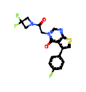 O=C(Cn1cnc2scc(-c3ccc(F)cc3)c2c1=O)N1CC(F)(F)C1